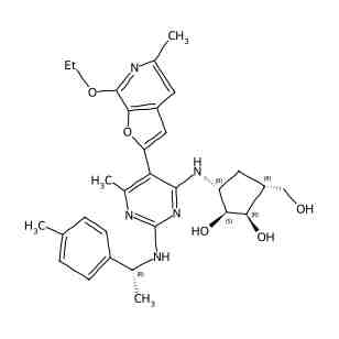 CCOc1nc(C)cc2cc(-c3c(C)nc(N[C@H](C)c4ccc(C)cc4)nc3N[C@@H]3C[C@H](CO)[C@@H](O)[C@H]3O)oc12